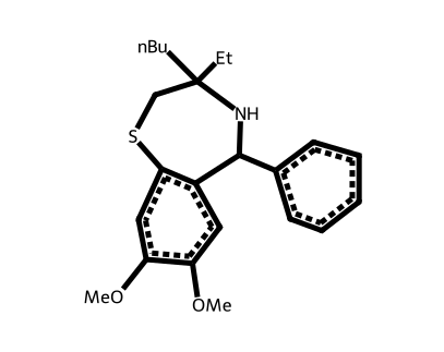 CCCCC1(CC)CSc2cc(OC)c(OC)cc2C(c2ccccc2)N1